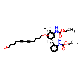 CCOC(=O)Nc1ccccc1C.CCOC(=O)Nc1ccccc1C.OCCCCC#CC#CCCCCO